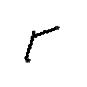 CC(C)CCCCCCCCCCOC(=O)OCCCCCCCCCCC(C)C